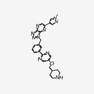 Cn1cc(-c2cnc3nnn(Cc4cccc(-c5ncc(OCC6CCNCC6)cn5)c4)c3n2)cn1